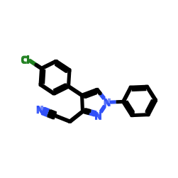 N#CCc1nn(-c2ccccc2)cc1-c1ccc(Cl)cc1